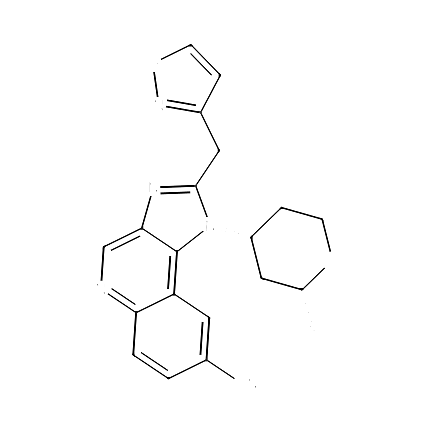 C[C@@H]1C[C@H](n2c(Cc3ccon3)nc3cnc4ccc(C#N)cc4c32)CCO1